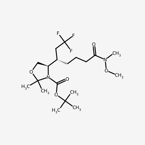 CON(C)C(=O)CCC[C@@H](CC(F)(F)F)[C@@H]1COC(C)(C)N1C(=O)OC(C)(C)C